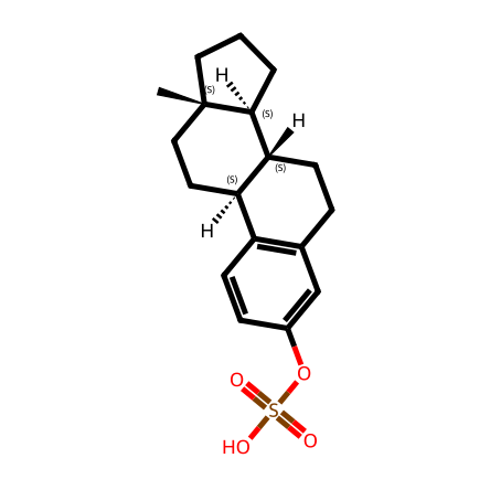 C[C@@]12CCC[C@H]1[C@@H]1CCc3cc(OS(=O)(=O)O)ccc3[C@H]1CC2